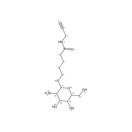 C#CCNC(=O)CCCCOC1OC(CO)C(O)C(O)C1N